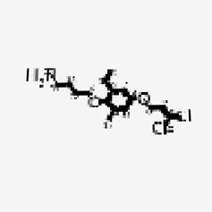 CCc1cc(OCC=C(Cl)Cl)cc(C)c1OCCCCN